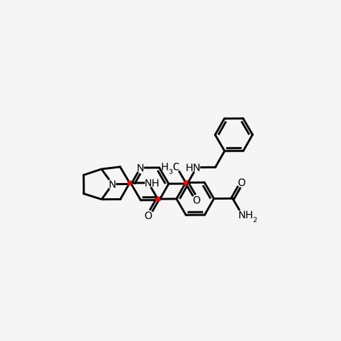 Cc1cc(C(N)=O)ccc1C(=O)NC1CC2CCC(C1)N2c1ccc(C(=O)NCc2ccccc2)cn1